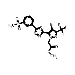 COC(=O)Cn1nc(C(F)(F)F)c(Br)c1-c1nnc(-c2cccc(S(C)(=O)=O)c2)s1